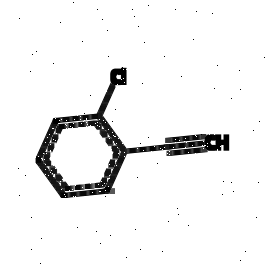 C#Cc1[c]cccc1Cl